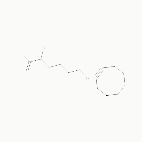 C1#CCCCCCC1.NCCCCC(N)C(=O)O